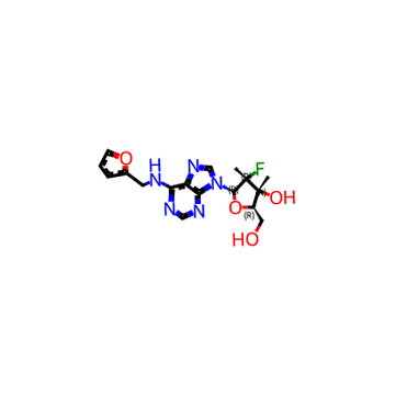 C[C@]1(F)[C@H](n2cnc3c(NCc4ccco4)ncnc32)O[C@H](CO)[C@@]1(C)O